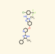 Cc1[nH]c(-c2cc(Oc3ccc4c(c3)nc(Nc3cc(C(F)(F)F)ccc3Cl)n4C)ccn2)nc1-c1ccccc1